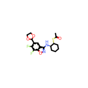 CC(=O)S[C@H]1CCCC[C@H]1Nc1noc2c(F)c(F)c(C3OCCO3)cc12